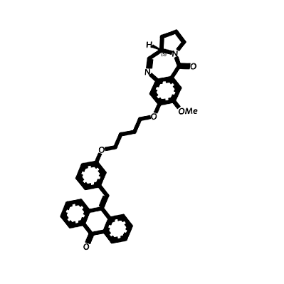 COc1cc2c(cc1OCCCCOc1cccc(C=C3c4ccccc4C(=O)c4ccccc43)c1)N=C[C@@H]1CCCN1C2=O